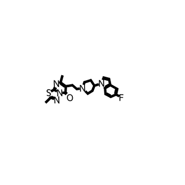 Cc1nn2c(=O)c(CCN3CCC(n4ccc5cc(F)ccc54)CC3)c(C)nc2s1